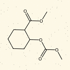 COC(=O)OC1CCCCC1C(=O)OC